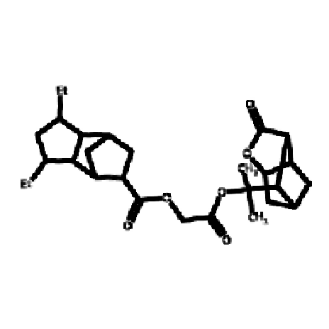 CCC1CC(CC)C2C3CC(CC3C(=O)OCC(=O)OC(C)(C)C3C4CC5OC(=O)C3C5C4)C12